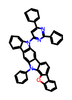 c1ccc(-c2cc(-n3c4ccccc4c4cc5c(cc43)c3ccc4c6ccccc6oc4c3n5-c3ccccc3)nc(-c3ccccc3)n2)cc1